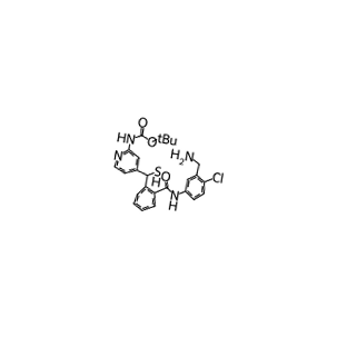 CC(C)(C)OC(=O)Nc1cc(C(S)c2ccccc2C(=O)Nc2ccc(Cl)c(CN)c2)ccn1